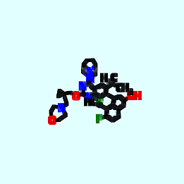 C#Cc1c(F)ccc2cc(O)cc(-c3c(C(C)C)cc4c(N5CC6CCC(C5)N6)nc(OCC5(CN6CCOCC6)CC5)nc4c3F)c12